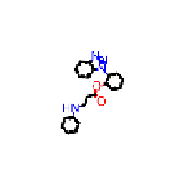 O=C(/C=C/Nc1ccccc1)Oc1ccccc1-n1nnc2ccccc21